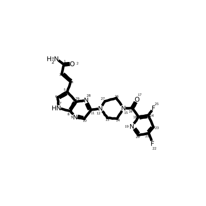 NC(=O)C=Cc1c[nH]c2ncc(N3CCN(C(=O)c4ncc(F)cc4F)CC3)nc12